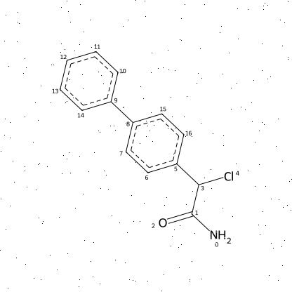 NC(=O)C(Cl)c1ccc(-c2ccccc2)cc1